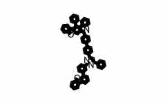 c1ccc(-c2cc(-c3ccc(-c4ccc(-c5nc6ccccc6c6c(-c7ccccc7)c7c(cc56)oc5ccccc57)cc4)cc3)nc(-c3cccc(-c4cccc5c4oc4ccccc45)c3)n2)cc1